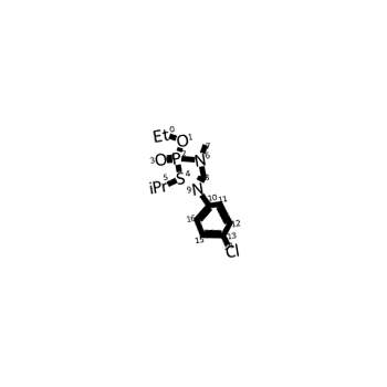 CCOP(=O)(SC(C)C)N(C)C=Nc1ccc(Cl)cc1